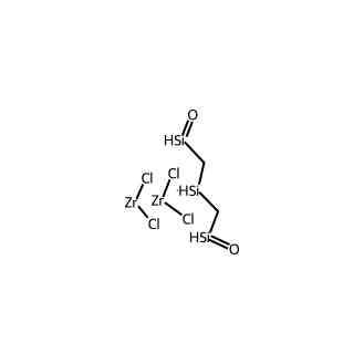 O=[SiH]C[SiH]C[SiH]=O.[Cl][Zr][Cl].[Cl][Zr][Cl]